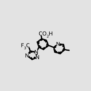 Cc1ccc(-c2cc(C(=O)O)cc(-n3ncnc3C(F)(F)F)c2)nc1